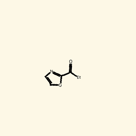 CCC(=O)c1ncco1